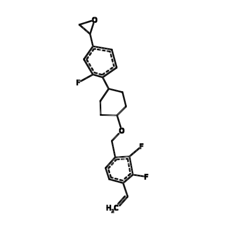 C=Cc1ccc(COC2CCC(c3ccc(C4CO4)cc3F)CC2)c(F)c1F